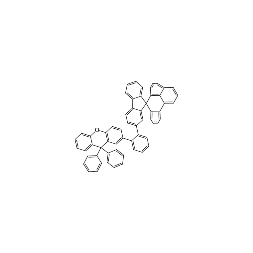 c1ccc(C2(c3ccccc3)c3ccccc3Oc3ccc(-c4ccccc4-c4ccc5c(c4)C4(c6ccccc6-5)c5ccccc5-c5cccc6cccc4c56)cc32)cc1